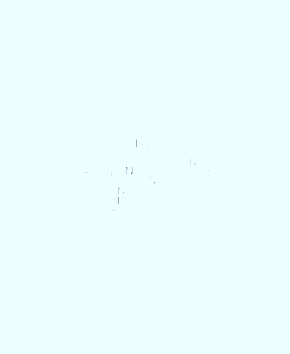 Cc1ccc(N)cc1-c1cnc(NC(=O)c2c(F)cccc2F)cn1